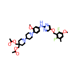 COc1cc(Nc2ncc(OCc3c(F)c(C)cc(OC)c3F)cn2)ccc1N1CCC(N2CCC(COC(C)=O)(COC(C)=O)CC2)CC1